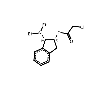 CCN(CC)[C@H]1c2ccccc2C[C@H]1OC(=O)CCl